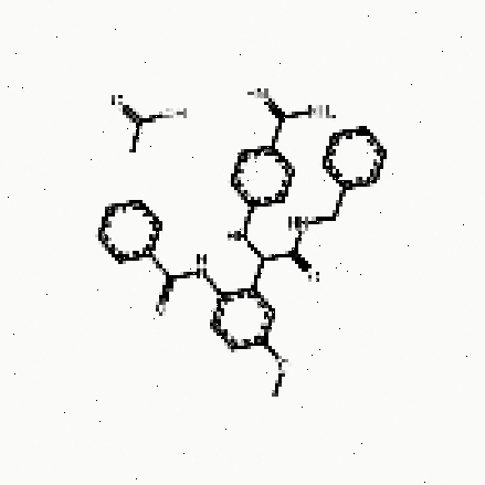 CC(=O)O.COc1ccc(NC(=O)c2ccccc2)c(C(Nc2ccc(C(=N)N)cc2)C(=O)NCc2ccccc2)c1